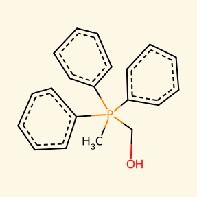 CP(CO)(c1ccccc1)(c1ccccc1)c1ccccc1